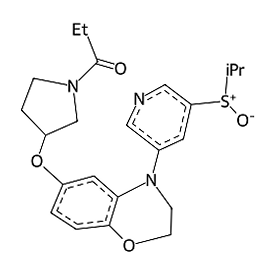 CCC(=O)N1CCC(Oc2ccc3c(c2)N(c2cncc([S+]([O-])C(C)C)c2)CCO3)C1